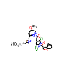 CC(C)O[C@H]1C[C@@H](c2ncc(CCC(=O)O)s2)N(C(=O)Cc2cc(Cl)c(NC(=O)c3coc4ccccc34)cc2Cl)C1